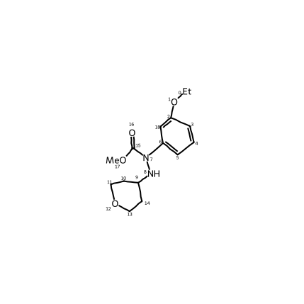 CCOc1cccc(N(NC2CCOCC2)C(=O)OC)c1